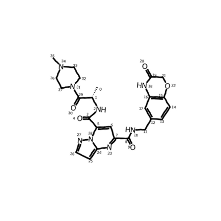 C[C@H](NC(=O)c1cc(C(=O)NCc2ccc3c(c2)NC(=O)CO3)nc2ccnn12)C(=O)N1CCN(C)CC1